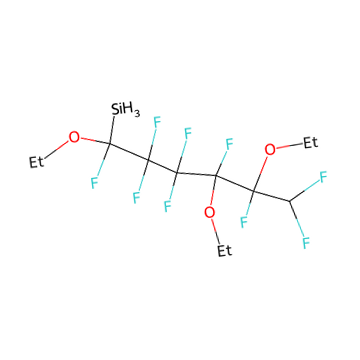 CCOC(F)([SiH3])C(F)(F)C(F)(F)C(F)(OCC)C(F)(OCC)C(F)F